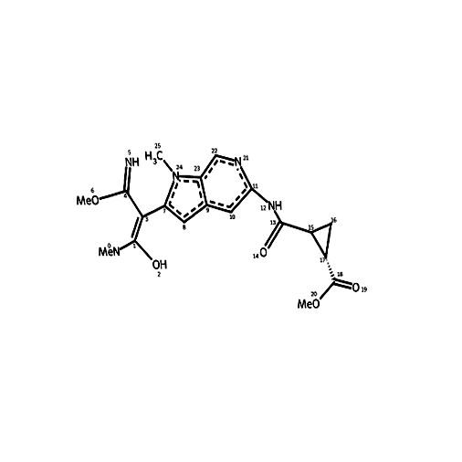 CN/C(O)=C(\C(=N)OC)c1cc2cc(NC(=O)C3C[C@@H]3C(=O)OC)ncc2n1C